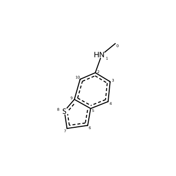 CNc1ccc2ccsc2c1